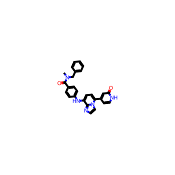 CN(Cc1ccccc1)C(=O)c1ccc(Nc2ccc(-c3cc[nH]c(=O)c3)n3ccnc23)cc1